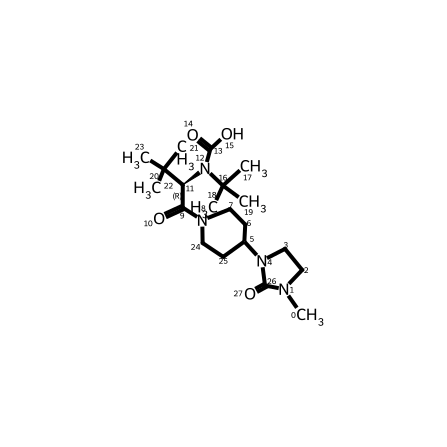 CN1CCN(C2CCN(C(=O)[C@H](N(C(=O)O)C(C)(C)C)C(C)(C)C)CC2)C1=O